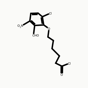 O=Cc1c([N+](=O)[O-])ccc(Cl)c1OCCCCCC(=O)Cl